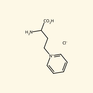 NC(CC[n+]1ccccc1)C(=O)O.[Cl-]